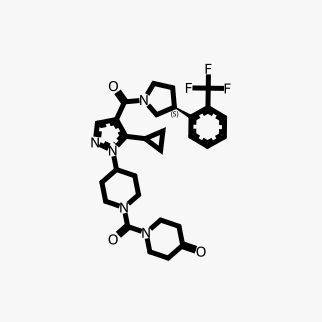 O=C1CCN(C(=O)N2CCC(n3ncc(C(=O)N4CC[C@@H](c5ccccc5C(F)(F)F)C4)c3C3CC3)CC2)CC1